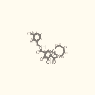 O=C(NCc1cccc(Cl)c1F)c1cn2c(c(O)c1=O)C(=O)N1CCCCCN2C1